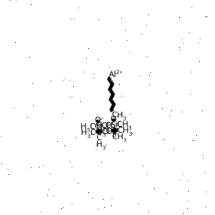 CC(C)(C)[Si](C)(C)[O-].CC(C)(C)[Si](C)(C)[O-].CCCCCCC[CH2][Al+2]